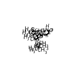 CC(C)(C)[Si](C)(C)OC[C@@]1(CCl)O[C@@H](n2ccc(=O)[nH]c2=O)[C@@H](F)C1O[Si](C)(C)C(C)(C)C